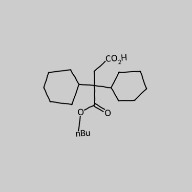 CCCCOC(=O)C(CC(=O)O)(C1CCCCC1)C1CCCCC1